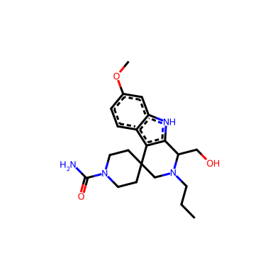 CCCN1CC2(CCN(C(N)=O)CC2)c2c([nH]c3cc(OC)ccc23)C1CO